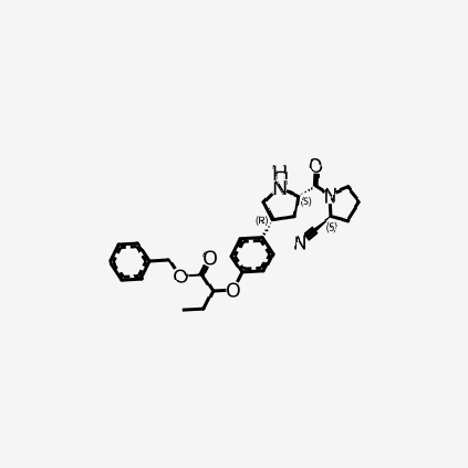 CCC(Oc1ccc([C@@H]2CN[C@H](C(=O)N3CCC[C@H]3C#N)C2)cc1)C(=O)OCc1ccccc1